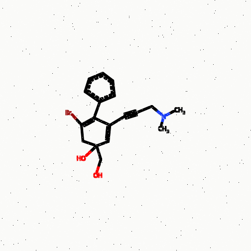 CN(C)CC#CC1=CC(O)(CO)CC(Br)=C1c1ccccc1